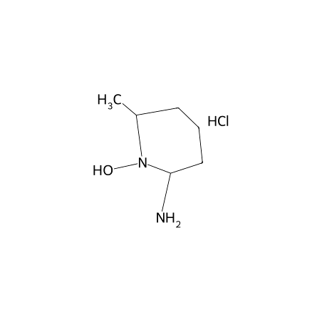 CC1CCCC(N)N1O.Cl